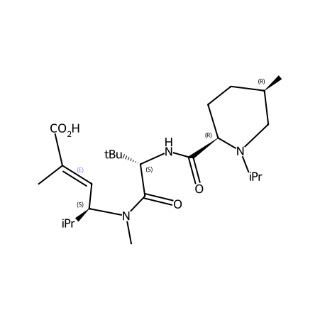 C/C(=C\[C@H](C(C)C)N(C)C(=O)[C@@H](NC(=O)[C@H]1CC[C@@H](C)CN1C(C)C)C(C)(C)C)C(=O)O